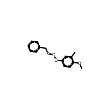 COc1ccc(OOSCc2ccccc2)cc1C